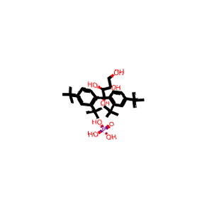 CC(C)(C)c1ccc(C(O)(c2ccc(C(C)(C)C)cc2C(C)(C)C)C(O)C(O)CO)c(C(C)(C)C)c1.O=P(O)(O)O